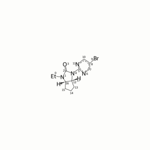 CCN1C(=O)N(c2ncc(Br)cn2)[C@@H]2CCC[C@@H]21